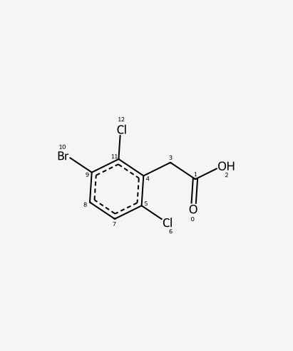 O=C(O)Cc1c(Cl)ccc(Br)c1Cl